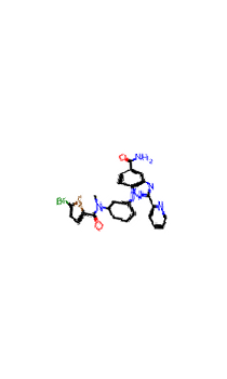 CN(C(=O)c1ccc(Br)s1)C1CCCC(n2c(-c3ccccn3)nc3cc(C(N)=O)ccc32)C1